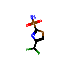 NS(=O)(=O)c1nc(C(F)F)cs1